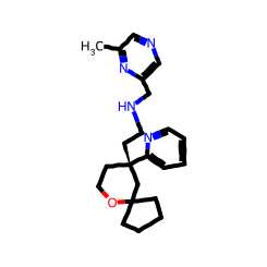 Cc1cncc(CNCC[C@]2(c3ccccn3)CCOC3(CCCC3)C2)n1